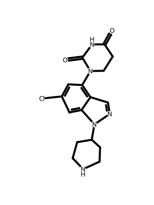 O=C1CCN(c2cc(Cl)cc3c2cnn3C2CCNCC2)C(=O)N1